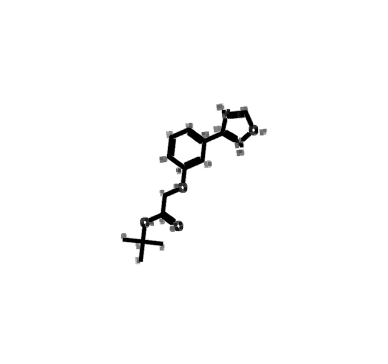 CC(C)(C)OC(=O)COc1cccc(-c2ncon2)c1